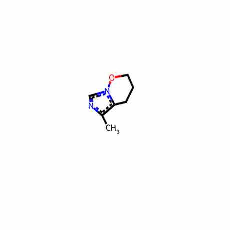 Cc1ncn2c1CCCO2